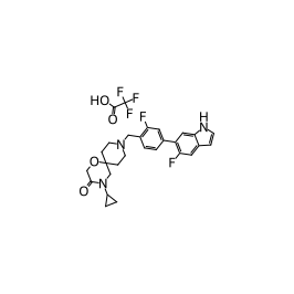 O=C(O)C(F)(F)F.O=C1COC2(CCN(Cc3ccc(-c4cc5[nH]ccc5cc4F)cc3F)CC2)CN1C1CC1